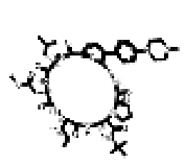 CC[C@H](C)[C@@H]1NC(=O)[C@H](CC(=O)OC)NC(=O)[C@H](CC(C)C)NC(=O)c2ccc(-c3ccc(N4CCN(C)CC4)cc3)c(c2)CNC(=O)[C@@H]2CCCN2C(C(=O)NC(C)(C)C)[C@H](C)NC1=O